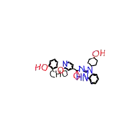 O=Cc1c(O)cccc1Oc1cc(C(=O)/N=c2\[nH]c3ccccc3n2C2CCC(O)CC2)ccn1